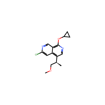 COC[C@H](C)c1cnc(OC2CC2)c2cnc(Cl)cc12